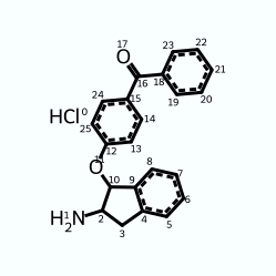 Cl.NC1Cc2ccccc2C1Oc1ccc(C(=O)c2ccccc2)cc1